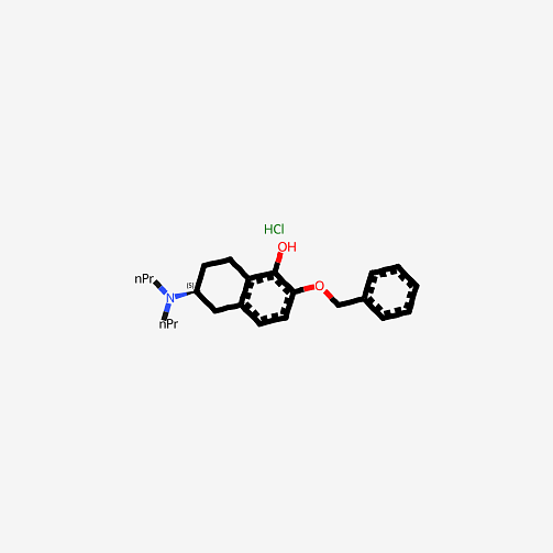 CCCN(CCC)[C@H]1CCc2c(ccc(OCc3ccccc3)c2O)C1.Cl